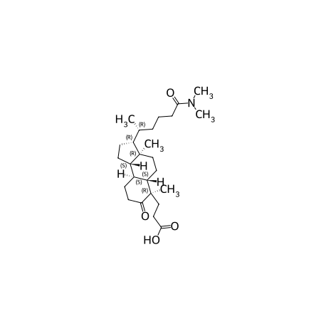 C[C@H](CCCC(=O)N(C)C)[C@H]1CC[C@H]2[C@@H]3CCC(=O)[C@](C)(CCC(=O)O)[C@H]3CC[C@]12C